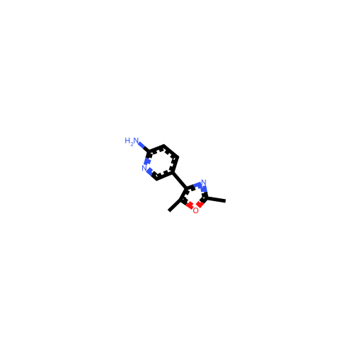 Cc1nc(-c2ccc(N)nc2)c(C)o1